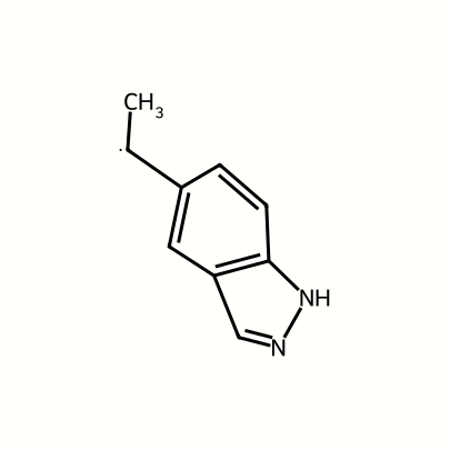 C[CH]c1ccc2[nH]ncc2c1